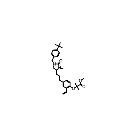 C=Cc1cc(CCCC2CN(Cc3ccc(C(C)(C)C)cc3)C(=O)N2C)ccc1OC(C)(C)C(=O)OC